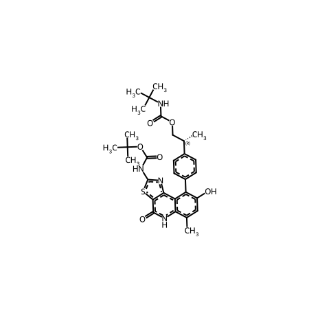 Cc1cc(O)c(-c2ccc([C@@H](C)COC(=O)NC(C)(C)C)cc2)c2c1[nH]c(=O)c1sc(NC(=O)OC(C)(C)C)nc12